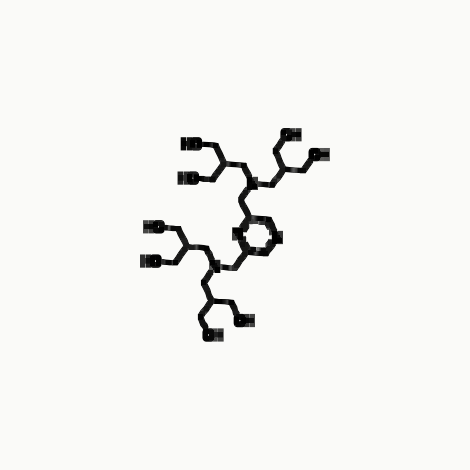 OCC(CO)CN(Cc1cncc(CN(CC(CO)CO)CC(CO)CO)n1)CC(CO)CO